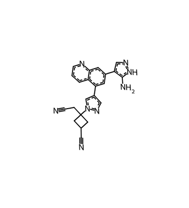 N#CCC1(n2cc(-c3cc(-c4cn[nH]c4N)cc4ncccc34)cn2)CC(C#N)C1